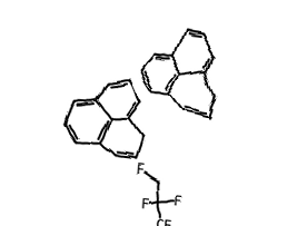 C1=Cc2cccc3cccc(c23)C1.C1=Cc2cccc3cccc(c23)C1.FCC(F)(F)C(F)(F)F